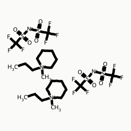 CCC[N+]1(C)CCCCC1.CCC[N+]1(C)CCCCC1.O=S(=O)([N-]S(=O)(=O)C(F)(F)F)C(F)(F)F.O=S(=O)([N-]S(=O)(=O)C(F)(F)F)C(F)(F)F